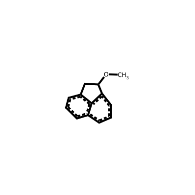 COC1Cc2cccc3cccc1c23